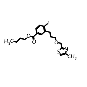 CCCCOC(=O)c1ccc(I)c(CCCOCc2nc(C)cs2)c1